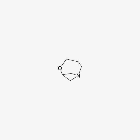 C1COC2CN(C1)C2